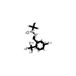 CC(C)(C)[S+]([O-])/N=C/c1cc(F)ccc1C(F)(F)F